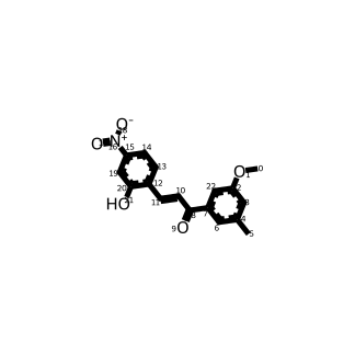 COc1cc(C)cc(C(=O)/C=C/c2ccc([N+](=O)[O-])cc2O)c1